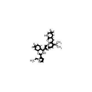 CCn1nccc1C(=O)N[C@H](c1cn2nc(CC3CC(F)(F)CNC3=O)c(N(C)C)cc2n1)C1CCC(F)(F)CC1